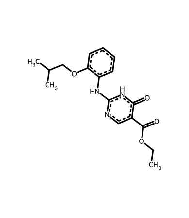 CCOC(=O)c1cnc(Nc2ccccc2OCC(C)C)[nH]c1=O